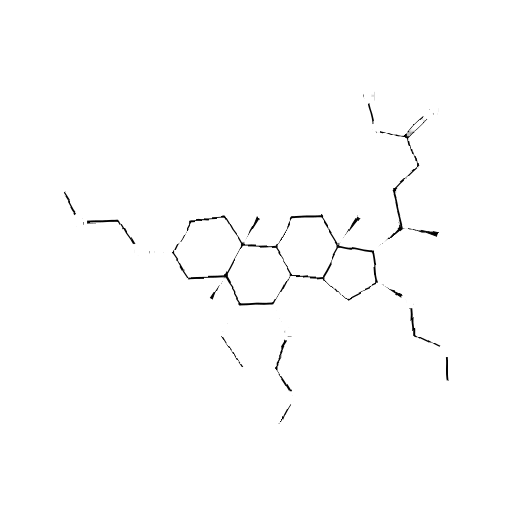 CC[C@H]1[C@@H](OCOC)C2C3C[C@H](OCOC)[C@H]([C@H](C)CCC(=N)NO)[C@@]3(C)CCC2[C@@]2(C)CC[C@@H](OCOC)C[C@@H]12